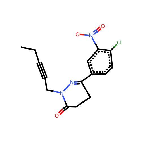 CCC#CCN1N=C(c2ccc(Cl)c([N+](=O)[O-])c2)CCC1=O